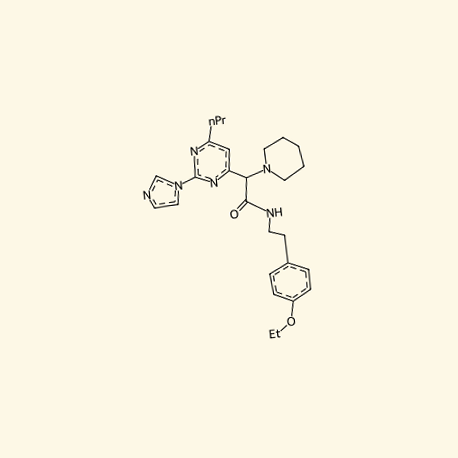 CCCc1cc(C(C(=O)NCCc2ccc(OCC)cc2)N2CCCCC2)nc(-n2ccnc2)n1